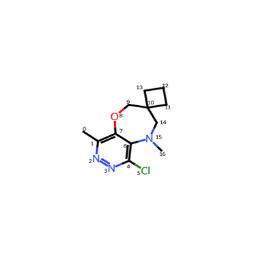 Cc1nnc(Cl)c2c1OCC1(CCC1)CN2C